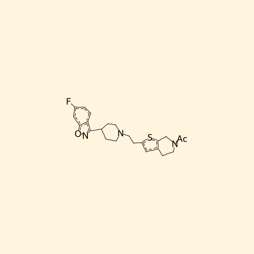 CC(=O)N1CCc2cc(CCN3CCC(c4noc5cc(F)ccc45)CC3)sc2C1